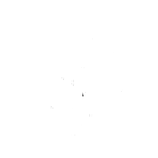 Cc1cc([C@@H](C)Nc2ccc(Cl)nc2C(=O)OC(C)(C)C)c2oc(-c3cc(F)ccc3C#N)c(C)c(=O)c2c1